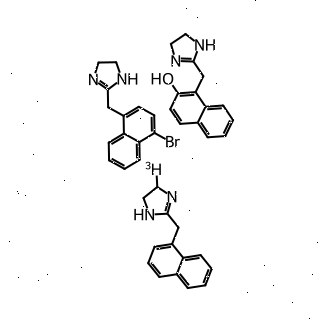 Brc1ccc(CC2=NCCN2)c2ccccc12.Oc1ccc2ccccc2c1CC1=NCCN1.[3H]C1CNC(Cc2cccc3ccccc23)=N1